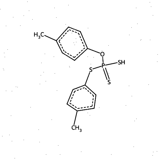 Cc1ccc(OP(=S)(S)Sc2ccc(C)cc2)cc1